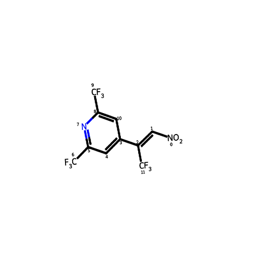 O=[N+]([O-])C=C(c1cc(C(F)(F)F)nc(C(F)(F)F)c1)C(F)(F)F